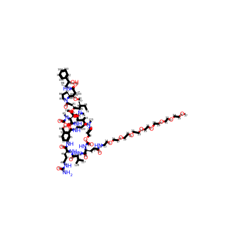 C=CCOC(=O)N[C@@H](CCC(=O)NCCOCCOCCOCCOCCOCCOCCOCCOC)C(=O)N[C@H](C(=O)N[C@@H](CCCNC(N)=O)C(=O)Nc1ccc(COC(=O)N(C)[C@H](C(=O)N[C@H](C(=O)N(C)[C@@H]([C@@H](C)CC)[C@@H](CC(=O)N2CCC[C@H]2[C@H](OC)[C@@H](C)C(=O)N[C@H](C)[C@@H](O)c2ccccc2)OC)C(C)C)C(C)C)c(C(=O)NCCCN(C)C)c1)C(C)C